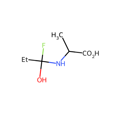 CCC(O)(F)NC(C)C(=O)O